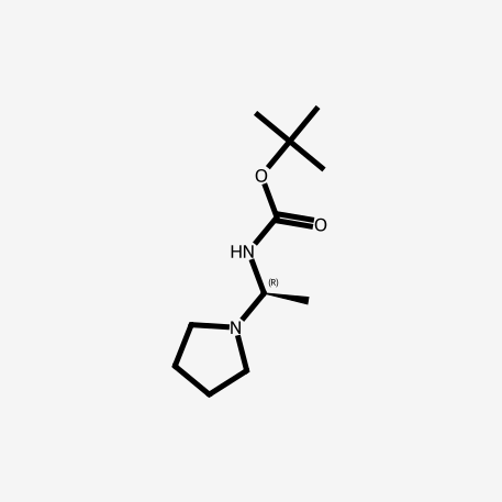 C[C@H](NC(=O)OC(C)(C)C)N1CCCC1